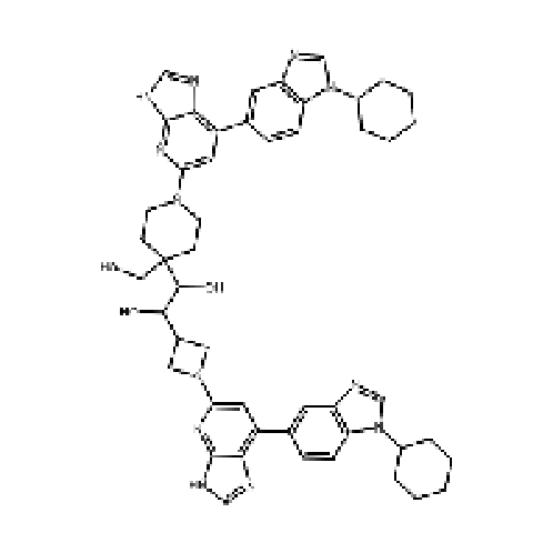 OCC1(C(O)C(O)C2CN(c3cc(-c4ccc5c(c4)ncn5C4CCCCC4)c4nc[nH]c4n3)C2)CCN(c2cc(-c3ccc4c(c3)ncn4C3CCCCC3)c3nc[nH]c3n2)CC1